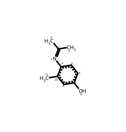 CC(C)=Nc1ccc(O)cc1C